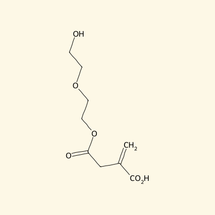 C=C(CC(=O)OCCOCCO)C(=O)O